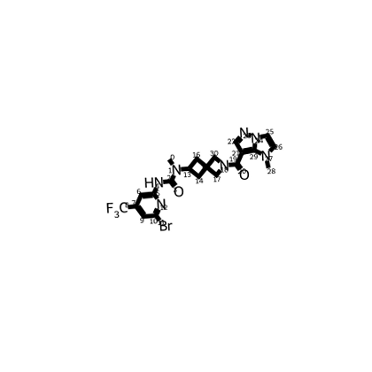 CN(C(=O)Nc1cc(C(F)(F)F)cc(Br)n1)C1CC2(C1)CN(C(=O)c1cnn3ccn(C)c13)C2